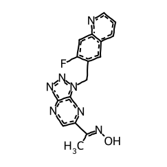 CC(=NO)c1cnc2nnn(Cc3cc4cccnc4cc3F)c2n1